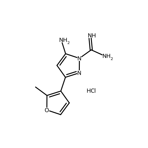 Cc1occc1-c1cc(N)n(C(=N)N)n1.Cl